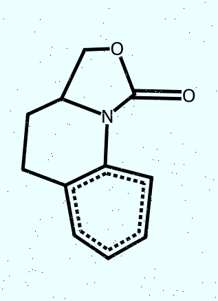 O=C1OCC2CCc3ccccc3N12